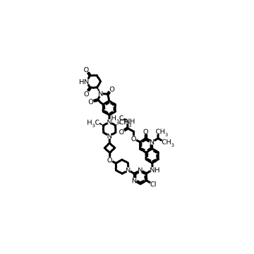 CNC(=O)COc1cc2cc(Nc3nc(N4CCC(OC5CC(N6C[C@@H](C)N(c7ccc8c(c7)C(=O)N([C@@H]7CCC(=O)NC7=O)C8=O)[C@H](C)C6)C5)CC4)ncc3Cl)ccc2n(C(C)C)c1=O